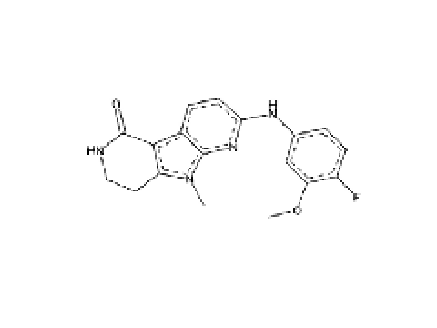 COc1cc(Nc2ccc3c4c(n(C)c3n2)CCNC4=O)ccc1F